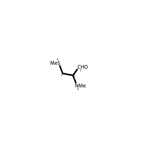 CNC(C=O)CSC